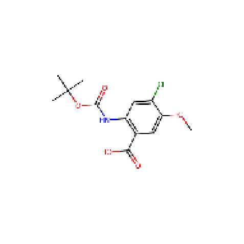 COc1cc(C(=O)O)c(NC(=O)OC(C)(C)C)cc1Cl